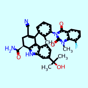 Cc1c(C2=C(C#N)C[C@H](C(N)=O)c3[nH]c4cc(C(C)(C)O)ccc4c32)cccc1-n1c(=O)c2cccc(F)c2n(C)c1=O